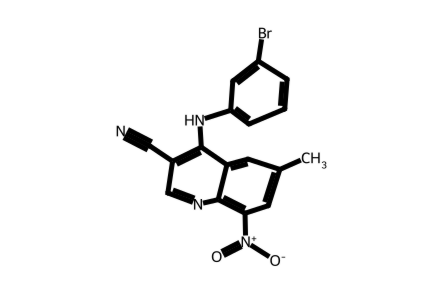 Cc1cc([N+](=O)[O-])c2ncc(C#N)c(Nc3cccc(Br)c3)c2c1